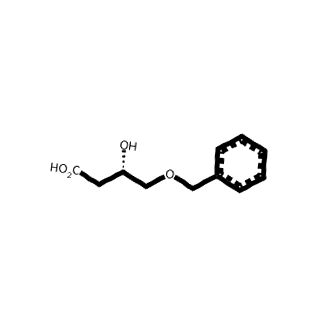 O=C(O)C[C@H](O)COCc1ccccc1